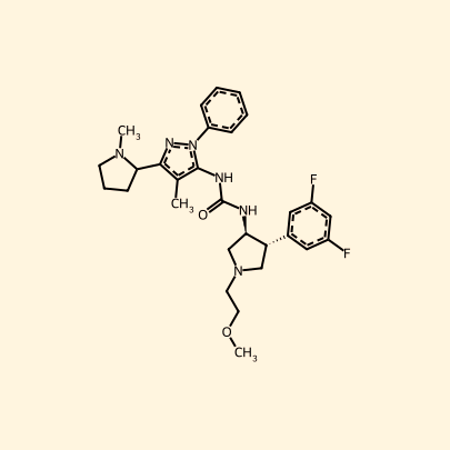 COCCN1C[C@@H](NC(=O)Nc2c(C)c(C3CCCN3C)nn2-c2ccccc2)[C@H](c2cc(F)cc(F)c2)C1